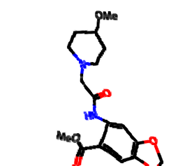 COC(=O)c1cc2c(cc1NC(=O)CN1CCC(OC)CC1)OCO2